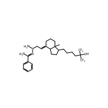 CC12CCC/C(=C\CN(N)/N=C(\N)c3ccccc3)C1CCC2CCCCC(O)(C(F)(F)F)C(F)(F)F